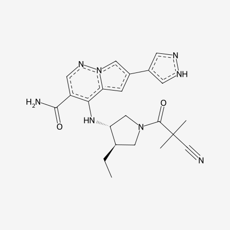 CC[C@@H]1CN(C(=O)C(C)(C)C#N)C[C@H]1Nc1c(C(N)=O)cnn2cc(-c3cn[nH]c3)cc12